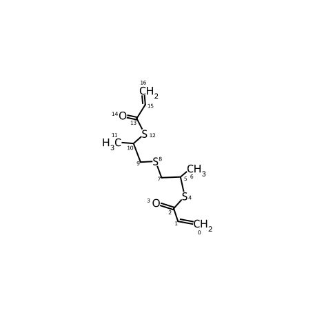 C=CC(=O)SC(C)CSCC(C)SC(=O)C=C